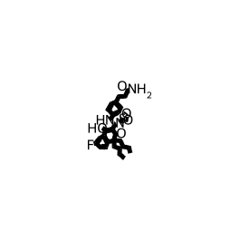 CCCCC1(CCCC)C(=O)C(C2=NS(=O)(=O)c3cc(CCC(N)=O)ccc3N2)=C(O)c2cc(F)ccc21